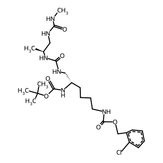 CNC(=O)NC[C@H](C)NC(=O)NC[C@H](CCCCNC(=O)OCc1ccccc1Cl)NC(=O)OC(C)(C)C